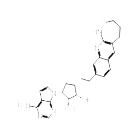 Nc1ncnc2c1ccn2[C@@H]1C[C@H](CCc2ccc3cc4c(nc3c2)NOCCC4)[C@@H](O)[C@H]1O